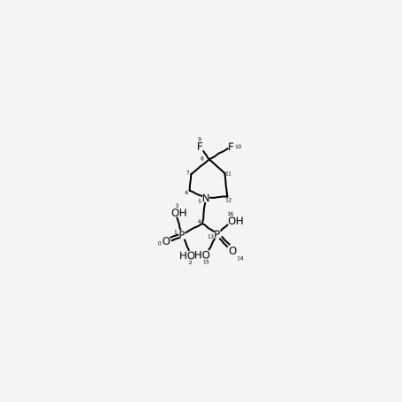 O=P(O)(O)C(N1CCC(F)(F)CC1)P(=O)(O)O